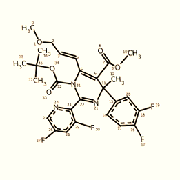 COC/C=C/C1=C(C(=O)OC)C(C)(c2ccc(F)c(F)c2)N=C(c2ncc(F)cc2F)N1C(=O)OC(C)(C)C